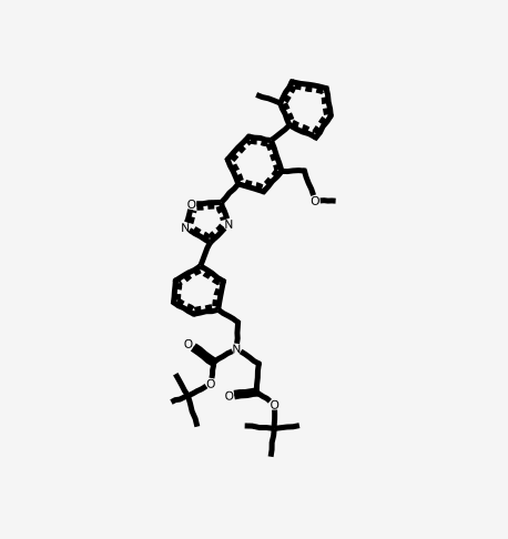 COCc1cc(-c2nc(-c3cccc(CN(CC(=O)OC(C)(C)C)C(=O)OC(C)(C)C)c3)no2)ccc1-c1ccccc1C